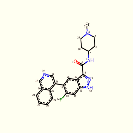 CCN1CCC(NC(=O)c2n[nH]c3cc(F)c(-c4cncc5ccccc45)cc23)CC1